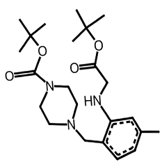 Cc1ccc(CN2CCN(C(=O)OC(C)(C)C)CC2)c(NCC(=O)OC(C)(C)C)c1